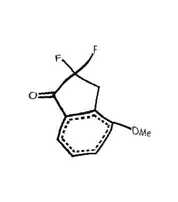 COc1cccc2c1CC(F)(F)C2=O